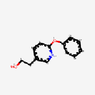 OCCc1ccc(Oc2ccccc2)nc1